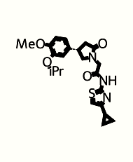 COc1ccc([C@@H]2CC(=O)N(CC(=O)Nc3nc(C4CC4)cs3)C2)cc1OC(C)C